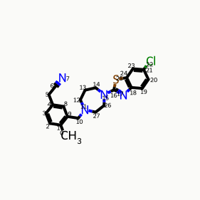 Cc1ccc(CC#N)cc1CN1CCCN(c2nc3ccc(Cl)cc3s2)CC1